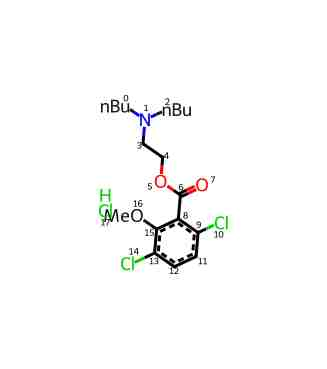 CCCCN(CCCC)CCOC(=O)c1c(Cl)ccc(Cl)c1OC.Cl